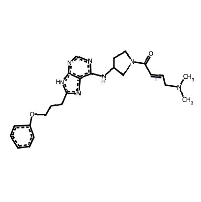 CN(C)C/C=C/C(=O)N1CCC(Nc2ncnc3[nH]c(CCCOc4ccccc4)nc23)C1